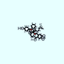 Cc1c(C(=O)N(c2ccccc2)c2ccc(O)cc2)cc(-c2cc3c(cc2C(=O)N2Cc4ccccc4C[C@H]2C)OCO3)n1CCN(C)C